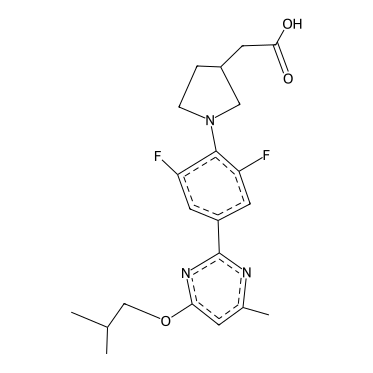 Cc1cc(OCC(C)C)nc(-c2cc(F)c(N3CCC(CC(=O)O)C3)c(F)c2)n1